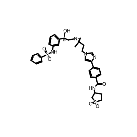 CC(C)(CCn1cnc(-c2ccc(C(=O)NC3CCS(=O)(=O)C3)cc2)c1)NC[C@H](O)c1cccc(NS(=O)(=O)c2ccccc2)c1